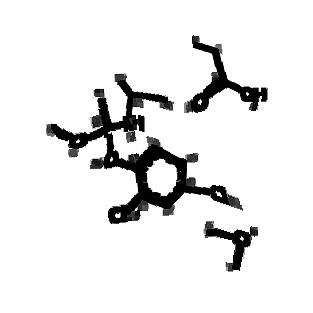 CCC(=O)O.COC.COP(=S)(NC(C)C)Oc1ccc(Cl)cc1Cl